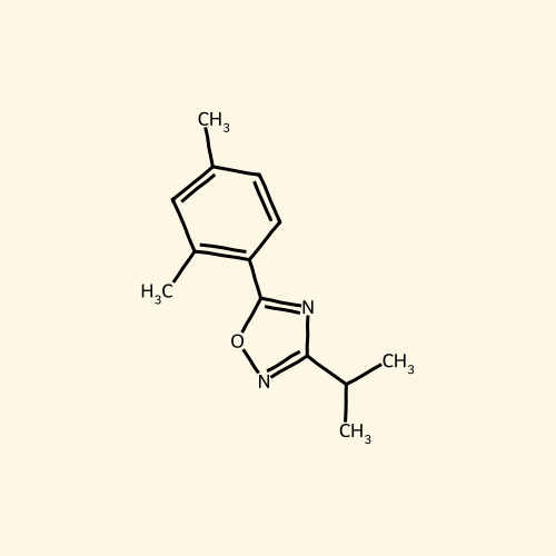 Cc1ccc(-c2nc(C(C)C)no2)c(C)c1